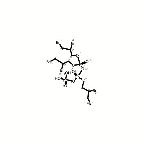 O=P(O)(O)OP(=O)(OCC(Br)CBr)OP(=O)(OCC(Br)CBr)OCC(Br)CBr